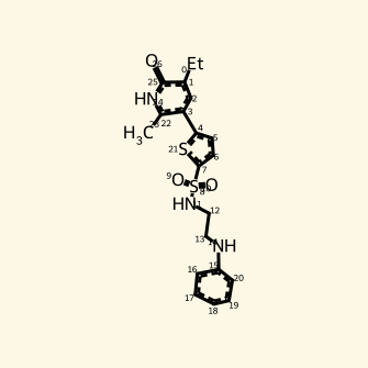 CCc1cc(-c2ccc(S(=O)(=O)NCCNc3ccccc3)s2)c(C)[nH]c1=O